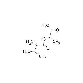 CC(=O)[C@H](C)NC(=O)C(N)C(C)C